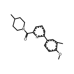 COc1ccc(-c2cccc(C(=O)N3CCC(C)CC3)n2)cc1C